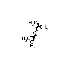 CCC(C)CCOCC(CC)CC